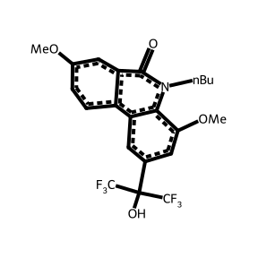 CCCCn1c(=O)c2cc(OC)ccc2c2cc(C(O)(C(F)(F)F)C(F)(F)F)cc(OC)c21